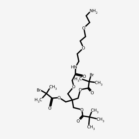 CC(C)(C)C(=O)OCC(COCC(=O)NCCOCCOCCN)(COC(=O)C(C)(C)Br)COC(=O)C(C)(C)Br